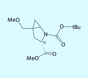 COCC12CC1N(C(=O)OC(C)(C)C)[C@H](C(=O)OC)C2